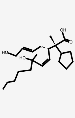 CCCCCC(C)(O)/C=C\[C@H](C/C=C/CO)[C@](C)(C(=O)O)C1CCCC1